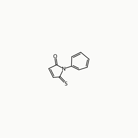 O=C1C=CC(=S)N1c1ccccc1